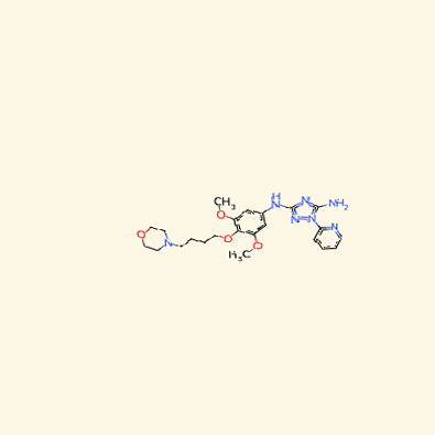 COc1cc(Nc2nc(N)n(-c3ccccn3)n2)cc(OC)c1OCCCCN1CCOCC1